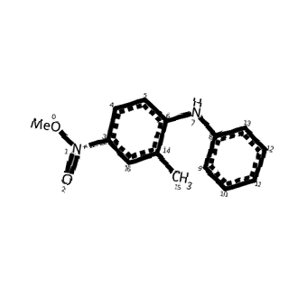 CO[N+](=O)c1ccc(Nc2ccccc2)c(C)c1